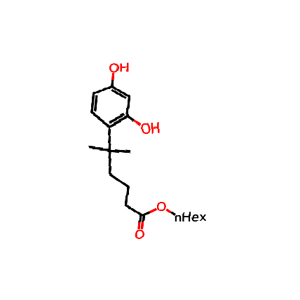 CCCCCCOC(=O)CCCC(C)(C)c1ccc(O)cc1O